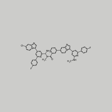 CNc1cc(-c2cnc3cc(-c4cccc(C(=O)N(C)C(N)c5cc(-c6cnc7cc(Cl)ccn67)cc(-c6ccc(F)cc6)n5)c4)ccn23)cc(-c2ccc(F)cc2)n1